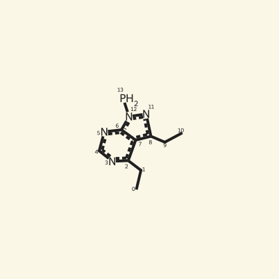 CCc1ncnc2c1c(CC)nn2P